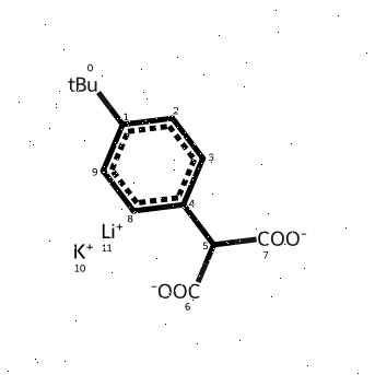 CC(C)(C)c1ccc(C(C(=O)[O-])C(=O)[O-])cc1.[K+].[Li+]